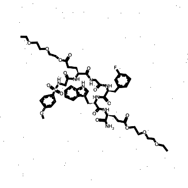 CCOCCOCCOC(=O)CC[C@H](NC(=O)[C@H](Cc1c[nH]c2ccccc12)NC(=O)[C@H](Cc1cccc(F)c1)NC(=O)CNC(=O)[C@H](CCC(=O)OCCOCCOCC)NC(=O)CNS(=O)(=O)c1ccc(OC)cc1)C(N)=O